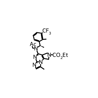 CCOC(=O)N1Cc2c(N(CC(C)=O)[C@H](C)c3cccc(C(F)(F)F)c3C)nc3ncc(C)n3c2C1